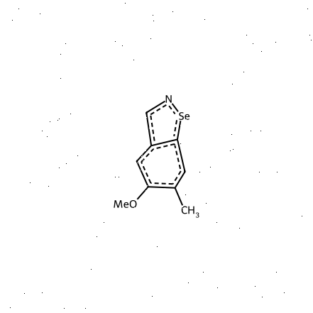 COc1cc2cn[se]c2cc1C